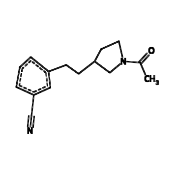 CC(=O)N1CCC(CCc2cccc(C#N)c2)C1